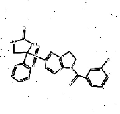 O=C1NCC(c2ccccc2)(S(=O)(=O)c2ccc3c(c2)CCN3C(=O)c2cccc(Cl)c2)N1